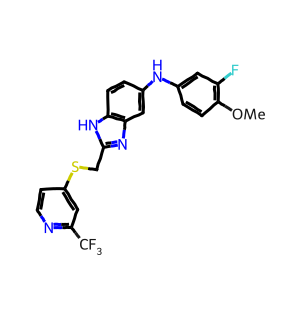 COc1ccc(Nc2ccc3[nH]c(CSc4ccnc(C(F)(F)F)c4)nc3c2)cc1F